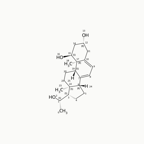 C[C@H](O)[C@H]1CC[C@H]2C3=CC=C4C[C@@H](O)C[C@H](O)[C@]4(C)[C@H]3CC[C@]12C